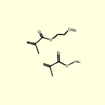 C=C(C)C(=O)OCCCC.C=C(C)C(=O)OCCOC